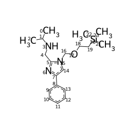 CC(C)NCc1nc(-c2ccccc2)cn1COCC[Si](C)(C)C